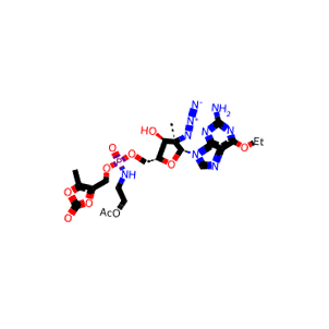 CCOc1nc(N)nc2c1ncn2[C@@H]1O[C@H](COP(=O)(NCCOC(C)=O)OCc2oc(=O)oc2C)[C@@H](O)[C@@]1(C)N=[N+]=[N-]